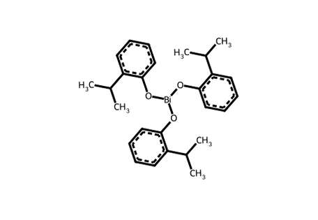 CC(C)c1ccccc1[O][Bi]([O]c1ccccc1C(C)C)[O]c1ccccc1C(C)C